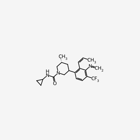 C=Nc1c(C(F)(F)F)ccc(C2C[C@@H](C)CN(C(=O)NC3CC3)C2)c1/C=C\C